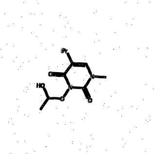 CC(O)On1c(=O)c(C(C)C)cn(C)c1=O